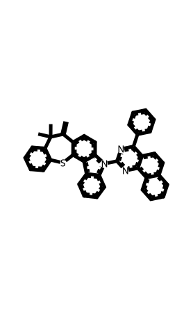 C=C1c2ccc3c(c2Sc2ccccc2C1(C)C)c1ccccc1n3-c1nc(-c2ccccc2)c2ccc3ccccc3c2n1